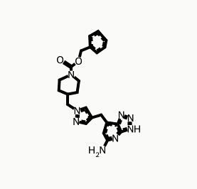 Nc1cc(Cc2cnn(CC3CCN(C(=O)OCc4ccccc4)CC3)c2)c2nn[nH]c2n1